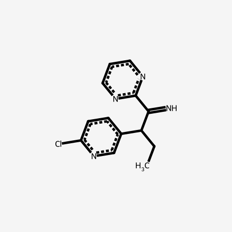 CCC(C(=N)c1ncccn1)c1ccc(Cl)nc1